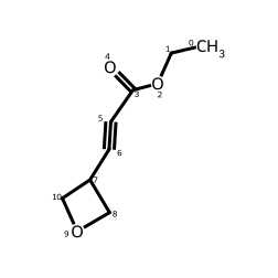 CCOC(=O)C#CC1COC1